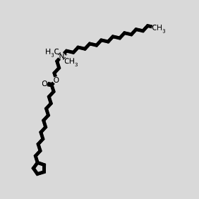 CCCCCCCCCCCCCCCC[N+](C)(C)CCCOC(=O)CCCCCCCCCCCCC1CCCC1